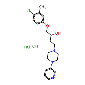 Cc1cc(OCC(O)CCN2CCN(c3cccnc3)CC2)ccc1Cl.Cl.Cl